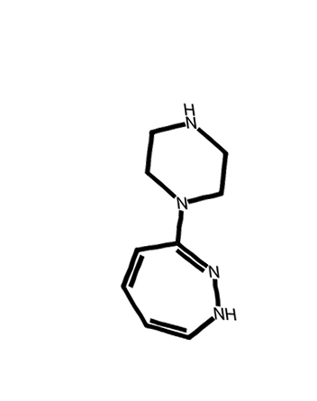 C1=CNN=C(N2CCNCC2)C=C1